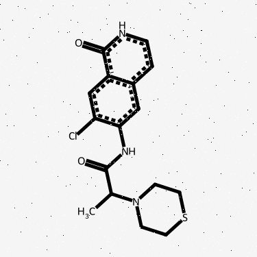 CC(C(=O)Nc1cc2cc[nH]c(=O)c2cc1Cl)N1CCSCC1